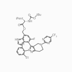 CCC[C@H](C)[C@H](NC(=O)OC(C)(C)C)C(=O)OCc1cc(F)c(-c2c3c(nn2-c2c(CC)cccc2CC)CCN(c2ncc(C(F)(F)F)cn2)C3)c2cc[nH]c12